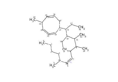 CCCCC(C)/N=C\CC(C)C(C)C(CC)C(CC)C1C=C=CC(C)C=CC1